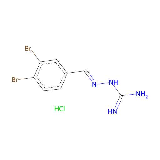 Cl.N=C(N)N/N=C/c1ccc(Br)c(Br)c1